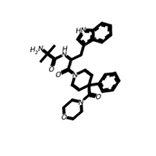 CC(C)(N)C(=O)NC(Cc1c[nH]c2ccccc12)C(=O)N1CCC(C(=O)N2CCOCC2)(c2ccccc2)CC1